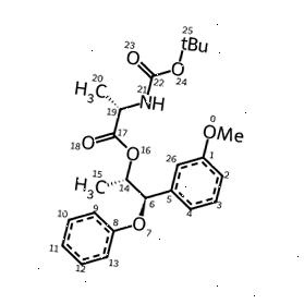 COc1cccc([C@@H](Oc2ccccc2)[C@H](C)OC(=O)[C@H](C)NC(=O)OC(C)(C)C)c1